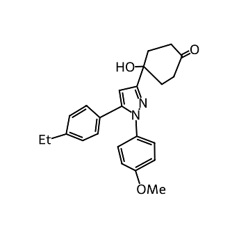 CCc1ccc(-c2cc(C3(O)CCC(=O)CC3)nn2-c2ccc(OC)cc2)cc1